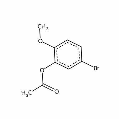 COc1ccc(Br)cc1OC(C)=O